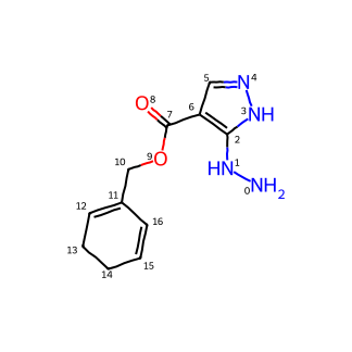 NNc1[nH]ncc1C(=O)OCC1=CCCC=C1